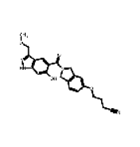 COCc1n[nH]c2cc(O)c(C(=O)N3Cc4ccc(OCCCC#N)cc4C3)cc12